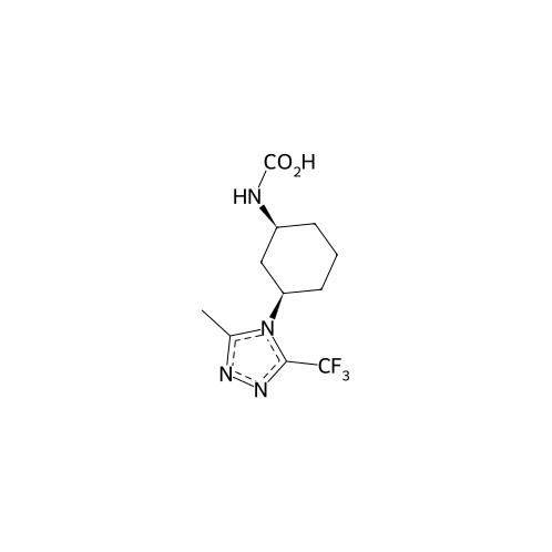 Cc1nnc(C(F)(F)F)n1[C@@H]1CCC[C@H](NC(=O)O)C1